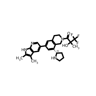 Cc1[nH]c2ncc(-c3cc4c(c([C@@H]5CCCN5)c3)CN(C(=O)C(C)(O)C(F)(F)F)CC4)cc2c1C